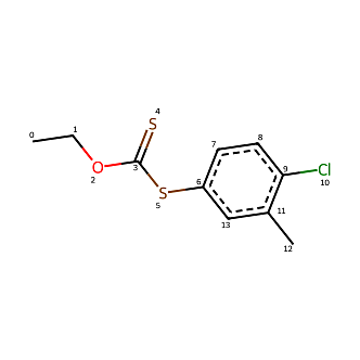 CCOC(=S)Sc1ccc(Cl)c(C)c1